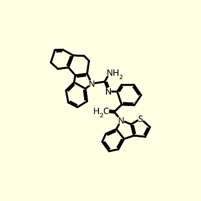 C=C(c1ccccc1/N=C(\N)n1c2c(c3ccccc31)C1=C(C=CCC1)CC2)n1c2ccccc2c2ccsc21